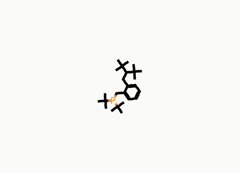 CC(C)(C)C(Cc1ccccc1CP(C(C)(C)C)C(C)(C)C)C(C)(C)C